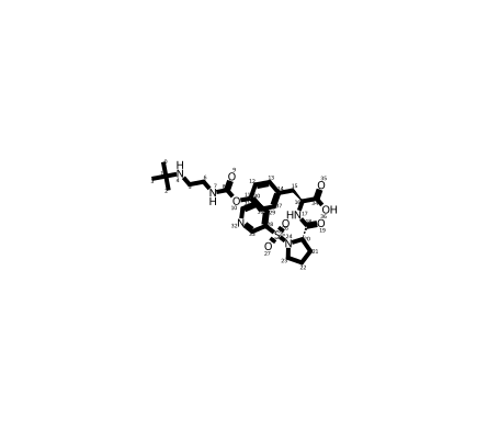 CC(C)(C)NCCNC(=O)Oc1ccc(C[C@H](NC(=O)[C@@H]2CCCN2S(=O)(=O)c2cccnc2)C(=O)O)cc1